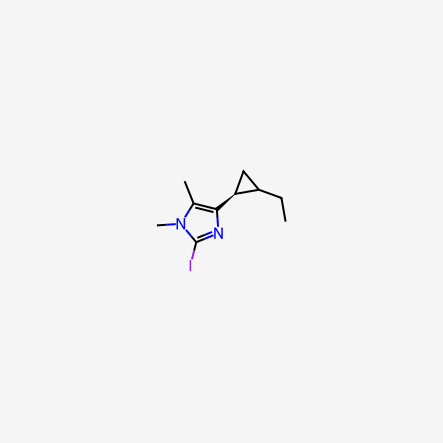 CCC1C[C@@H]1c1nc(I)n(C)c1C